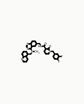 CN(Cc1cccc2ncccc12)c1ncnc2ccc(CNC(=O)c3cccn(Cc4ccc(F)c(F)c4)c3=O)cc12